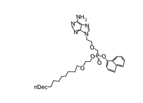 CCCCCCCCCCCCCCCCCCOCCOP(=O)(COCCn1cnc2c(N)ncnc21)Oc1cccc2ccccc12